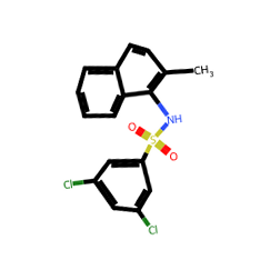 Cc1ccc2ccccc2c1NS(=O)(=O)c1cc(Cl)cc(Cl)c1